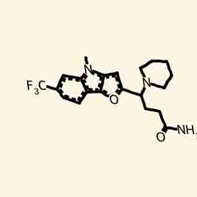 Cn1c2cc(C(F)(F)F)ccc2c2oc(C(CCC(N)=O)N3CCCCC3)cc21